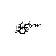 C[C@H](OC=O)[C@H]1CC[C@H]2C(=O)CCC[C@@]12C